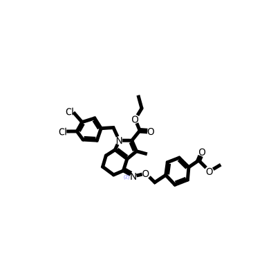 CCOC(=O)c1c(C)c2c(n1Cc1ccc(Cl)c(Cl)c1)CCC/C2=N/OCc1ccc(C(=O)OC)cc1